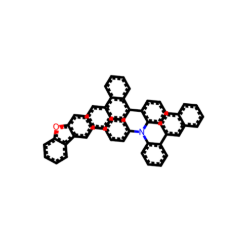 c1ccc(N(c2ccc(-c3ccc4oc5ccccc5c4c3)cc2)c2ccccc2-c2cc3ccccc3c3ccccc23)c(-c2ccc3ccccc3c2)c1